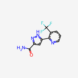 NC(=O)c1cc(-c2ncccc2C(F)(F)F)[nH]n1